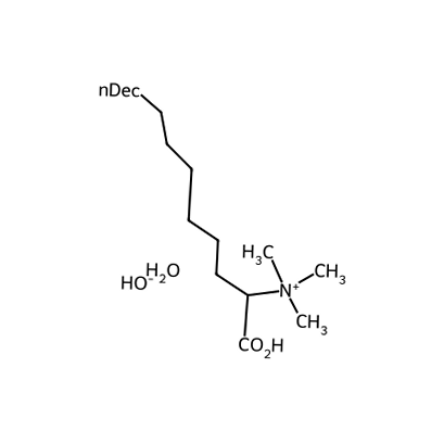 CCCCCCCCCCCCCCCCC(C(=O)O)[N+](C)(C)C.O.[OH-]